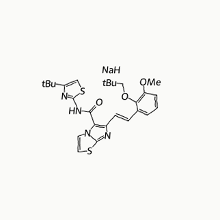 COc1cccc(/C=C/c2nc3sccn3c2C(=O)Nc2nc(C(C)(C)C)cs2)c1OCC(C)(C)C.[NaH]